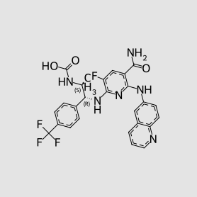 C[C@H](NC(=O)O)[C@H](Nc1nc(Nc2ccc3ncccc3c2)c(C(N)=O)cc1F)c1ccc(C(F)(F)F)cc1